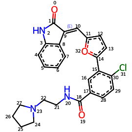 O=C1Nc2ccccc2/C1=C\c1ccc(-c2cc(C(=O)NCCN3CCCC3)ccc2Cl)o1